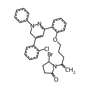 C=C(CCCOc1ccccc1C1=NN(c2ccccc2)CC(c2ccccc2Cl)=C1)N1C(=O)CCC1Br